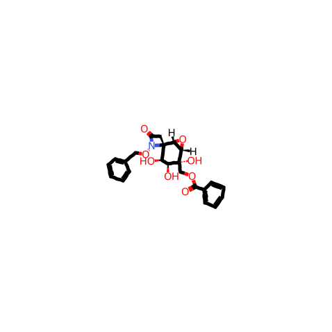 O=C(OC[C@@]1(O)[C@@H](O)[C@@H](O)[C@@]2(CC(=O)N2OCc2ccccc2)[C@@H]2O[C@@H]21)c1ccccc1